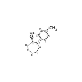 Cc1ccc(N2CCCCCC2=O)c(F)c1